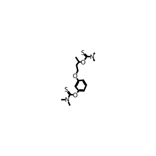 CC(CCOc1cccc(OC(=S)N(C)C)c1)OC(=S)N(C)C